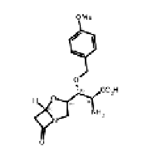 COc1ccc(CO[C@H]([C@H](N)C(=O)O)[C@H]2CN3C(=O)C[C@@H]3O2)cc1